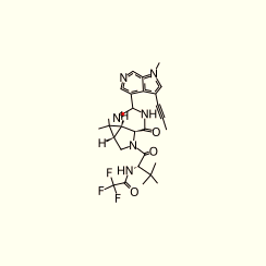 CC#Cc1cn(C)c2cncc(C(C#N)NC(=O)[C@@H]3[C@@H]4[C@H](CN3C(=O)[C@@H](NC(=O)C(F)(F)F)C(C)(C)C)C4(C)C)c12